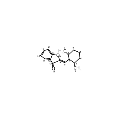 CC1CCC[C@@H](C)C1/C=C1\Oc2ccccc2C1=O